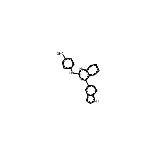 O=Cc1ccc(Nc2nc(-c3ccc4[nH]ccc4c3)c3ccccc3n2)cc1